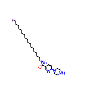 O=C(NCCCCCCCCCCCCCCCCCCI)c1ccc(N2CCNCC2)nc1